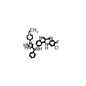 CCN1CCC(N2C=C([C@@H](Nc3ccc4ncc(C#N)c(Nc5ccc(F)c(Cl)c5)c4c3)c3ccccc3)NN2)CC1